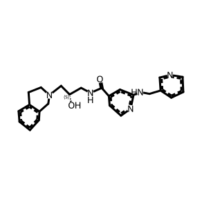 O=C(NC[C@H](O)CN1CCc2ccccc2C1)c1ccnc(NCc2cccnc2)c1